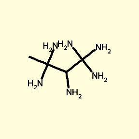 CC(N)(N)C(N)C(N)(N)N